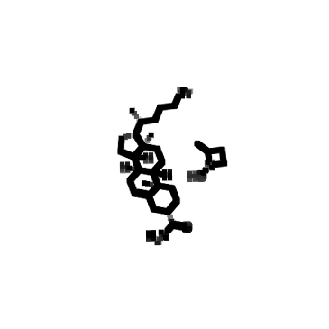 CC(C)CCC[C@@H](C)[C@H]1CC[C@H]2[C@@H]3CC=C4C[C@@H](C(N)=O)CC[C@]4(C)[C@H]3CC[C@]12C.CC1CCN1O